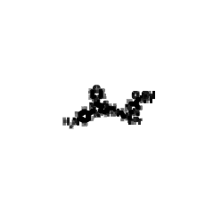 CCCN(CCNCc1cc2nc(-c3ccc(N)cc3)nc(N3CCOCC3)c2s1)c1ncc(C(=O)NO)cn1